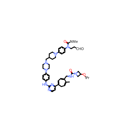 CNC(=O)N(CCC=O)c1ccc(N2CCC(CN3CCN(c4ccc(Nc5nccc(C6=CC=C(CNC(=O)N7CC(OC(C)C)C7)C(C)=CC6)n5)cc4)CC3)CC2)cc1